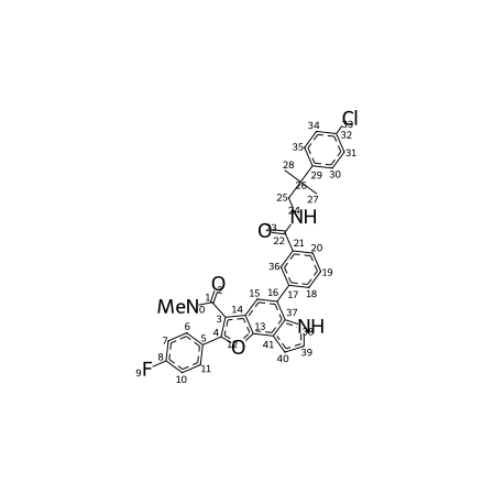 CNC(=O)c1c(-c2ccc(F)cc2)oc2c1cc(-c1cccc(C(=O)NCC(C)(C)c3ccc(Cl)cc3)c1)c1[nH]ccc12